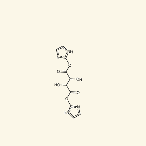 O=C(Oc1ncc[nH]1)C(O)C(O)C(=O)Oc1ncc[nH]1